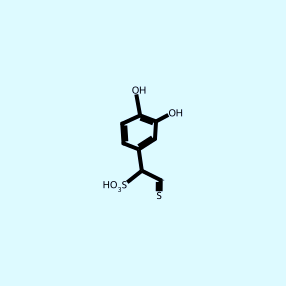 O=S(=O)(O)C([C]=S)c1ccc(O)c(O)c1